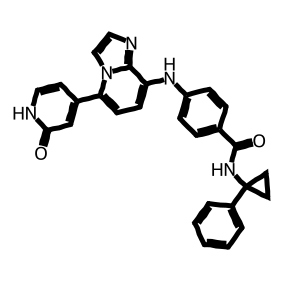 O=C(NC1(c2ccccc2)CC1)c1ccc(Nc2ccc(-c3cc[nH]c(=O)c3)n3ccnc23)cc1